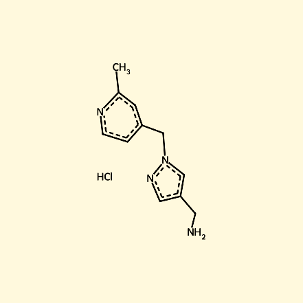 Cc1cc(Cn2cc(CN)cn2)ccn1.Cl